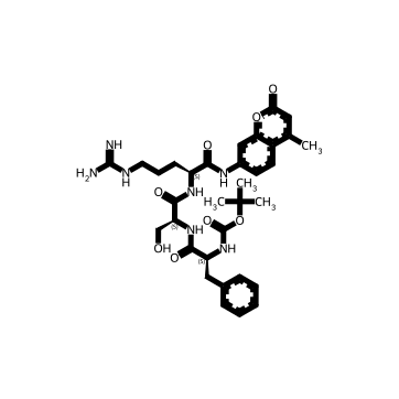 Cc1cc(=O)oc2cc(NC(=O)[C@H](CCCNC(=N)N)NC(=O)[C@H](CO)NC(=O)[C@H](Cc3ccccc3)NC(=O)OC(C)(C)C)ccc12